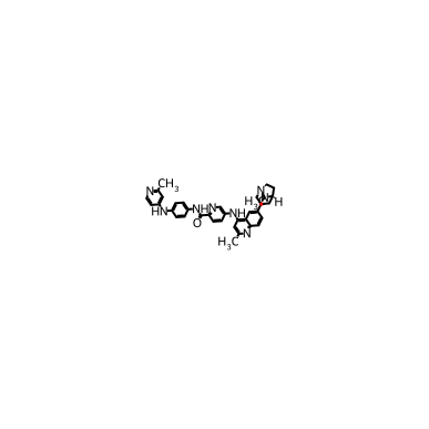 Cc1cc(Nc2ccc(NC(=O)c3ccc(Nc4cc(C)nc5ccc(C6C[C@@H]7CC[N@](C6)N7C)cc45)cn3)cc2)ccn1